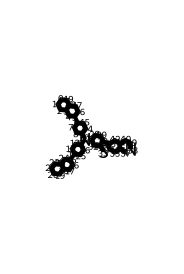 c1ccc2cc(-c3ccc(N(c4ccc(-c5ccc6ccccc6c5)cc4)c4ccc5c(c4)sc4cc6cnccc6cc45)cc3)ccc2c1